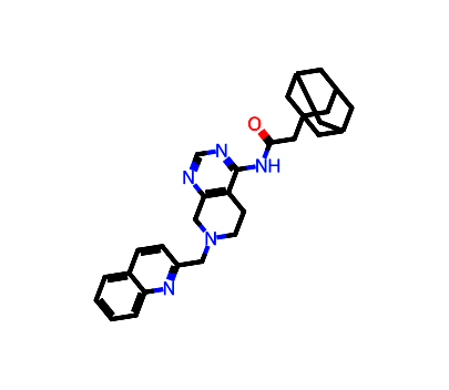 O=C(CC12CC3CC(CC(C3)C1)C2)Nc1ncnc2c1CCN(Cc1ccc3ccccc3n1)C2